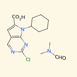 CN(C)C=O.O=C(O)c1cc2cnc(Cl)nc2n1C1CCCCC1